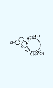 N#CC[C@H]1CC/C=C\[C@H](O)[C@@H]2CC[C@H]2CN2C[C@@]3(CCCc4cc(Cl)ccc43)COc3ccc(cc32)C(=O)NS1(=O)=O